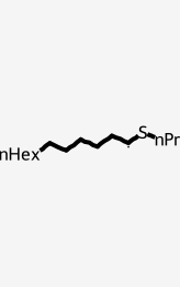 CCCCCCCCCCC[CH]SCCC